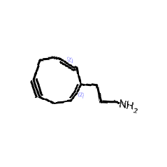 NCCC1=C/CC#CC/C=C\1